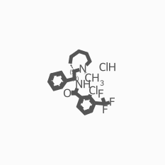 CN1CCCCC[C@H]1[C@H](NC(=O)c1cccc(C(F)(F)F)c1Cl)c1ccccc1.Cl